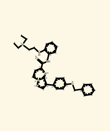 CCN(CC)CCNc1ccccc1NC(=O)c1ccn2ncc(-c3ccc(OCc4ccccc4)cc3)c2n1